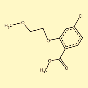 COCCOc1cc(Cl)ccc1C(=O)OC